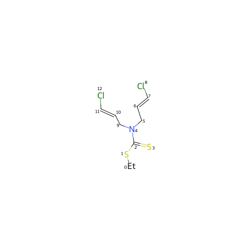 CCSC(=S)N(CC=CCl)CC=CCl